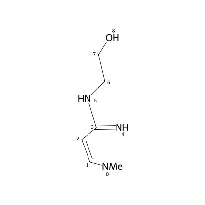 CN/C=C\C(=N)NCCO